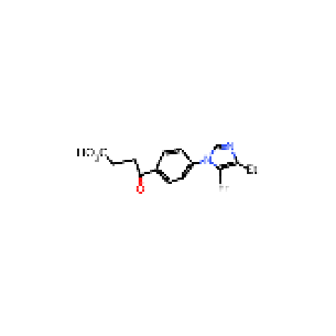 CCc1ncn(-c2ccc(C(=O)CCC(=O)O)cc2)c1CC